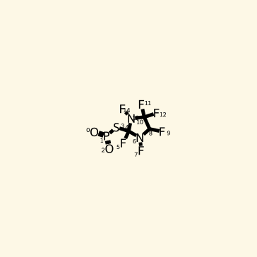 O=P(=O)SC1(F)N(F)C(F)C(F)(F)N1F